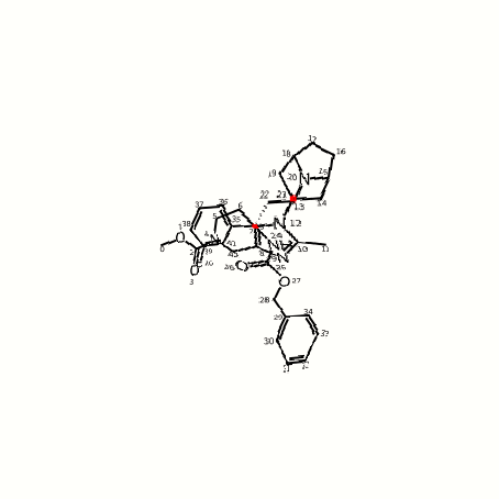 COC(=O)N1CCc2c(nc(C)n2C2CC3CCC(C2)N3CC[C@H](NC(=O)OCc2ccccc2)c2cccc(F)c2)C1